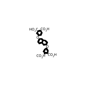 O=C(O)c1ccc(Oc2ccc3cc(Oc4ccc(C(=O)O)c(C(=O)O)c4)ccc3c2)cc1C(=O)O